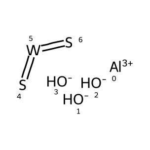 [Al+3].[OH-].[OH-].[OH-].[S]=[W]=[S]